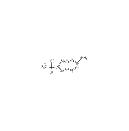 Nc1ccc2nc(C(F)(F)C(F)(F)F)sc2c1